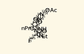 CCCOc1ccc(S(=O)(=O)N2CCN(CCOC(C)=O)CC2)cc1-c1nc2c(CCCF)cn(CC)c2c(=O)[nH]1